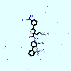 Cc1cc(-c2ccccc2S(N)(=O)=O)ccc1NC(=O)C1(CCC(=O)O)CC(c2cccc(C(=N)N)c2)=NO1